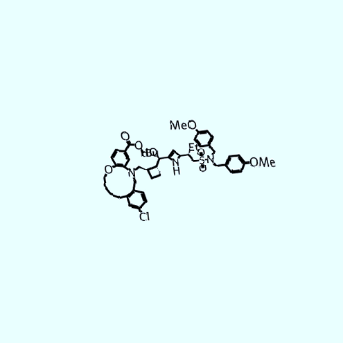 CC[C@H](CS(=O)(=O)N(Cc1ccc(OC)cc1)Cc1ccc(OC)cc1)C1C=C([C@H](O)[C@@H]2CC[C@H]2CN2Cc3ccc(Cl)cc3CCCCOc3ccc(C(=O)OC(C)(C)C)cc32)N1